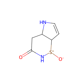 O=C1CC2NC=CC2[S+]([O-])N1